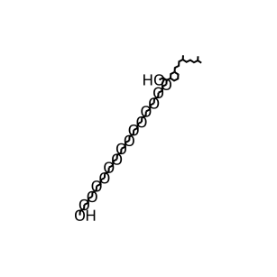 CC(C)CCCC(C)CCCC1CCCC(C(CO)OCCOCCOCCOCCOCCOCCOCCOCCOCCOCCOCCOCCOCCOCCO)C1